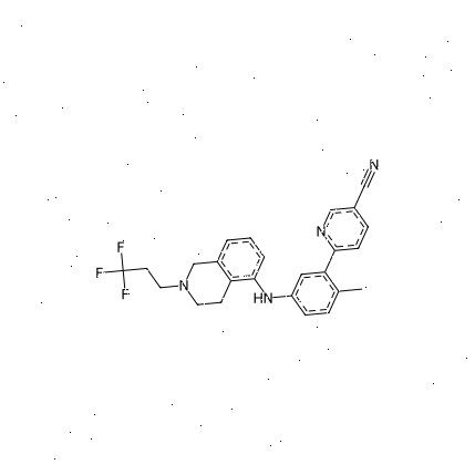 Cc1ccc(Nc2cccc3c2CCN(CCC(F)(F)F)C3)cc1-c1ccc(C#N)cn1